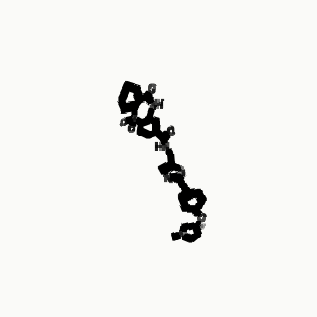 CN1CC[C@H](Oc2ccc(-c3ncc(CNC(=O)c4ccc5c(c4)NC(=O)c4ccccc4S5(=O)=O)s3)cc2)C1